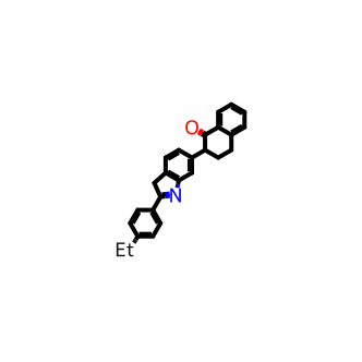 CCc1ccc(C2=Nc3cc(C4CCc5ccccc5C4=O)ccc3C2)cc1